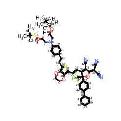 CC(C)(C)SOCCN(CCO[Si](C)(C)C(C)(C)C)c1ccc(/C=C/c2sc(/C=C/C3=C(C#N)C(=C(C#N)C#N)OC3(c3ccc(-c4ccccc4)cc3)C(F)(F)F)c3c2OCCO3)cc1